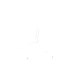 [O]=[Zr]([O-])[O-].[Y].[Y]